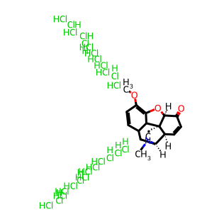 COC1=C2O[C@H]3C(=O)C=C[C@H]4[C@H]5CC(C=C1)C2[C@@]34CCN5C.Cl.Cl.Cl.Cl.Cl.Cl.Cl.Cl.Cl.Cl.Cl.Cl.Cl.Cl.Cl.Cl.Cl.Cl.Cl.Cl.Cl.Cl.Cl.Cl.Cl